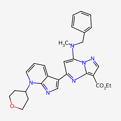 CCOC(=O)c1cnn2c(N(C)Cc3ccccc3)cc(-c3cnc4n(C5CCOCC5)cccc3-4)nc12